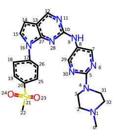 CN1CCN(c2ncc(Nc3ncc4ccn(-c5ccc(S(C)(=O)=O)cc5)c4n3)cn2)CC1